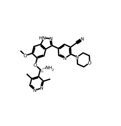 COc1cc2[nH]nc(-c3cnc(N4CCOCC4)c(C#N)c3)c2cc1O[C@H](N)c1c(C)cnnc1C